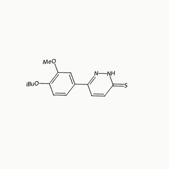 COc1cc(-c2ccc(=S)[nH]n2)ccc1OCC(C)C